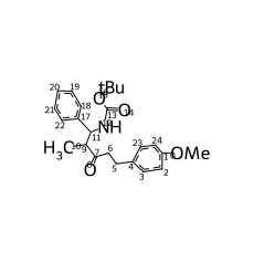 COc1ccc(CCC(=O)C(C)C(NC(=O)OC(C)(C)C)c2ccccc2)cc1